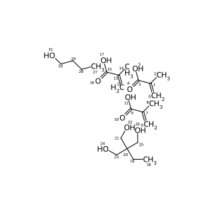 C=C(C)C(=O)O.C=C(C)C(=O)O.C=C(C)C(=O)O.CCC(CO)(CO)CO.CCCCO